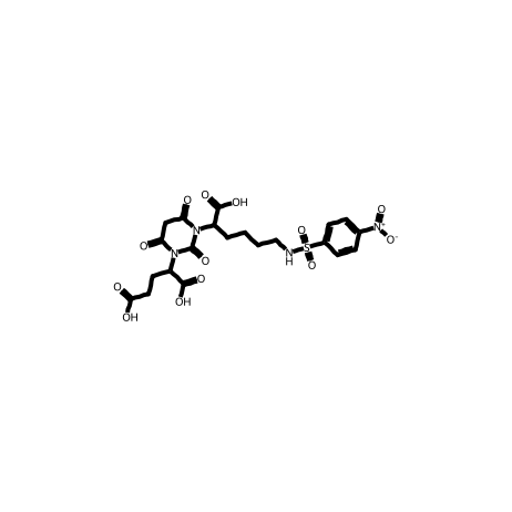 O=C(O)CCC(C(=O)O)N1C(=O)CC(=O)N(C(CCCCNS(=O)(=O)c2ccc([N+](=O)[O-])cc2)C(=O)O)C1=O